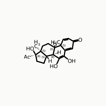 CC(=O)[C@@]1(O)CC[C@H]2[C@@H]3C(O)=C(O)C4=CC(=O)C=C[C@]4(C)[C@H]3CC[C@@]21C